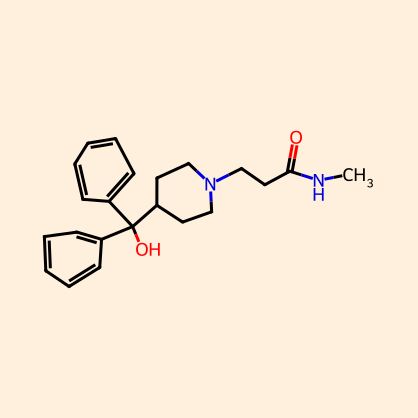 CNC(=O)CCN1CCC(C(O)(c2ccccc2)c2ccccc2)CC1